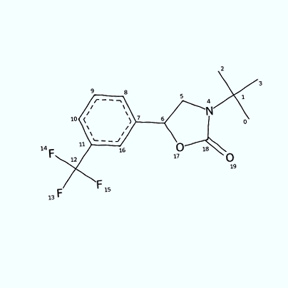 CC(C)(C)N1CC(c2cccc(C(F)(F)F)c2)OC1=O